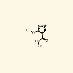 CNC(=O)c1c[nH]nc1OC